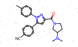 Cc1ccc(-n2nc(C(=O)N3CCC(N(C)C)C3)cc2-c2ccc(C#N)cc2)cc1